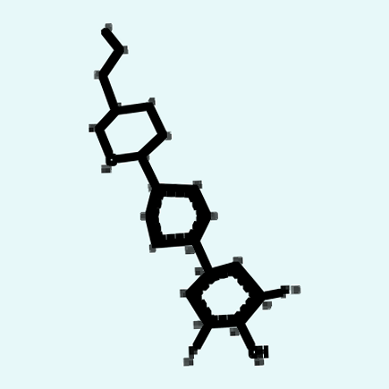 CCCC1CCC(c2ccc(-c3cc(F)c(O)c(F)c3)cc2)OC1